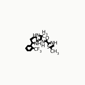 CC1=CNC(C(=O)NC2=C(C)NC3C=CC(c4ccccc4C(F)(F)F)NN23)S1